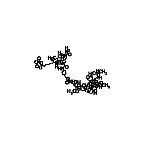 C=C1C[C@@H]2CC([C@]34C[C@@H](OC)[C@H](O3)C3C[C@@H](O4)[C@H]4O[C@@H](CC(=O)C[C@@H]5[C@@H](OC)[C@@H](C[C@H](O)CNC(=O)OCc6ccc(NC(=O)[C@H](CCCNC(N)=O)NC(=O)[C@@H](NC(=O)CCCCCC(=O)ON7C(=O)C=CC7=O)C(C)C)cc6)O[C@H]5C)CC[C@@H]4O3)[C@@H]3C[C@H](CC[C@@H]1O2)OCC3=C